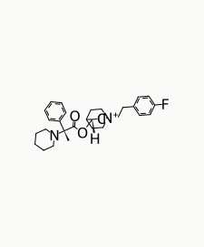 C[C@](C(=O)O[C@H]1C[N+]2(CCc3ccc(F)cc3)CCC1CC2)(c1ccccc1)N1CCCCC1